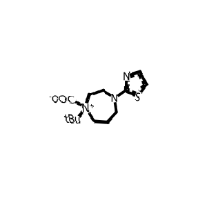 CC(C)(C)[N+]1(C(=O)[O-])CCCN(c2nccs2)CC1